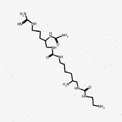 N=C(N)NCCCC(CNC(=O)NCCCCC(N)CNC(=O)NCCN)NC(N)=O